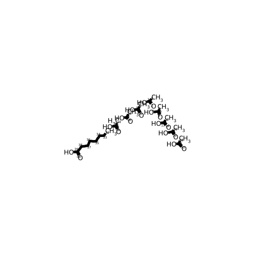 CC(=O)O.CC(=O)O.CC(=O)O.CC(=O)O.CC(=O)O.CC(=O)O.CC(=O)O.CC(=O)O.CCCCCCCC(=O)O